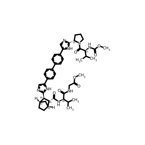 COC(=O)CNC(=O)[C@H](NC(=O)[C@@H]1[C@@H]2CC[C@@H](C2)[C@H]1c1ncc(-c2ccc(-c3ccc(-c4cnc([C@@H]5CCCN5C(=O)[C@@H](NC(=O)OC)C(C)C)[nH]4)cc3)cc2)[nH]1)C(C)C